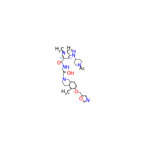 C=N/C=C(\C=C(/C)NC1CCN(C(C)=O)CC1)C(=O)NC[C@H](O)CN1CCc2c(ccc(OCc3cnco3)c2C)C1